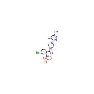 CCc1cnc(N2CCN(C(=O)c3ccc(Br)cc3N3CCCS3(=O)=O)CC2)c(C)c1